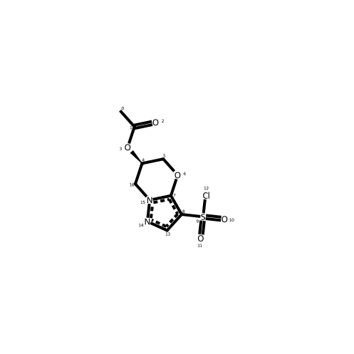 CC(=O)O[C@H]1COc2c(S(=O)(=O)Cl)cnn2C1